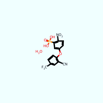 N#Cc1cc(C(F)(F)F)ccc1Oc1ccc([N+](=O)[O-])c(P(=O)(O)O)c1.O